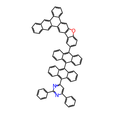 c1ccc(-c2cc(-c3c4ccccc4c(-c4c5ccccc5c(-c5ccc6oc7cc8c9ccccc9c9cc%10ccccc%10cc9c8cc7c6c5)c5ccccc45)c4ccccc34)nc(-c3ccccc3)n2)cc1